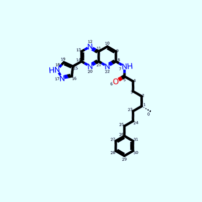 C[C@@H](CCCC(=O)Nc1ccc2ncc(-c3cn[nH]c3)nc2n1)CCCc1ccccc1